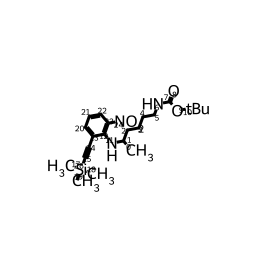 CC(CCCCNC(=O)OC(C)(C)C)Nc1c(C#C[Si](C)(C)C)cccc1[N+](=O)[O-]